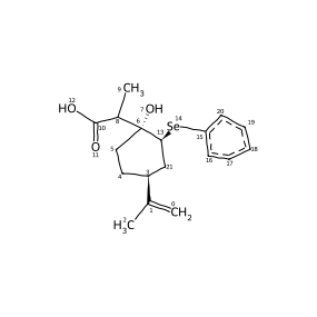 C=C(C)[C@H]1CC[C@@](O)(C(C)C(=O)O)[C@@H]([Se]c2ccccc2)C1